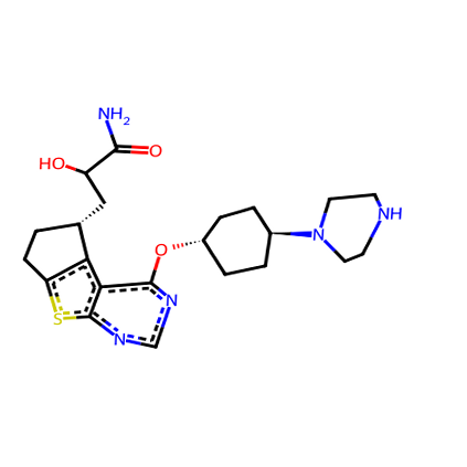 NC(=O)C(O)C[C@H]1CCc2sc3ncnc(O[C@H]4CC[C@H](N5CCNCC5)CC4)c3c21